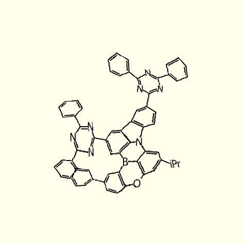 CC(C)c1cc2c3c(c1)-n1c4ccc(-c5nc(-c6ccccc6)nc(-c6ccccc6)n5)cc4c4cc(-c5nc(-c6ccccc6)nc(-c6ccccc6)n5)cc(c41)B3c1cc(-c3ccccc3)ccc1O2